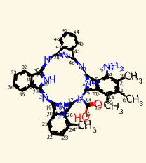 Cc1c(C)c(N)c2c3[nH]c(c2c1C)N(C(=O)O)c1[nH]c(c2cccc(C)c12)/N=c1\[nH]c(c2ccccc12)=NC1=NC(=N3)c2ccccc21